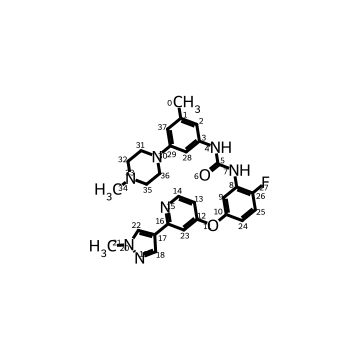 Cc1cc(NC(=O)Nc2cc(Oc3ccnc(-c4cnn(C)c4)c3)ccc2F)cc(N2CCN(C)CC2)c1